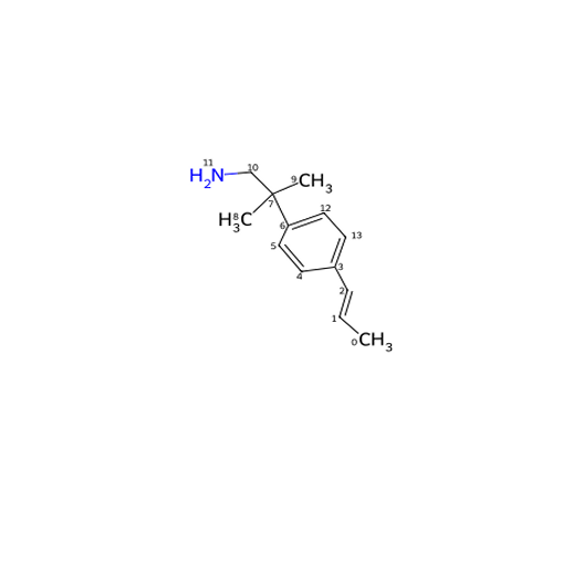 C/C=C/c1ccc(C(C)(C)CN)cc1